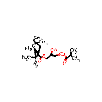 C=C(C)C(=O)OCC(O)COC(=O)C1(CC(C)(C)CC)CC1(C)C